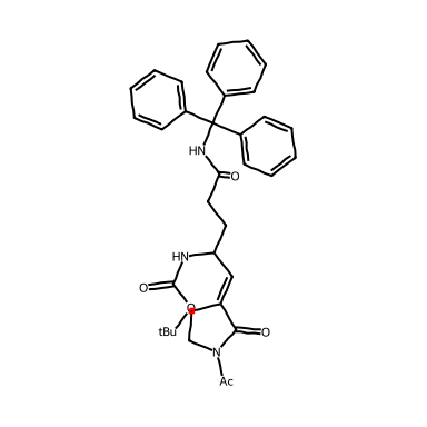 CC(=O)N1CCC(=CC(CCC(=O)NC(c2ccccc2)(c2ccccc2)c2ccccc2)NC(=O)OC(C)(C)C)C1=O